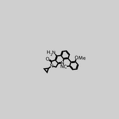 COc1cccc(C#N)c1-c1cccc2c(N)c3c(nc12)CN(C1CC1)C3=O